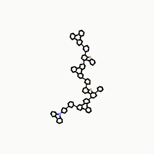 c1ccc(-c2ccc(-c3ccc4c5cc(-c6cccc(-c7ccc(-n8c9ccccc9c9ccccc98)cc7)c6)ccc5c5ccccc5c4c3)c3c2sc2c(-c4cccc(-c5ccc6c7ccccc7c7cc(-c8ccc(-c9cccc(-c%10ccc%11c%12ccccc%12c%12ccccc%12c%11c%10)c9)c9sc%10ccccc%10c89)ccc7c6c5)c4)cccc23)cc1